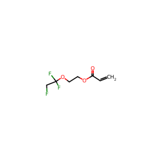 C=CC(=O)OCCOC(F)(F)CF